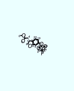 COC(=O)C[C@H]1COc2cc(OS(=O)(=O)C(F)(F)F)ccc21